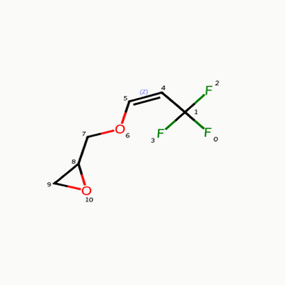 FC(F)(F)/C=C\OCC1CO1